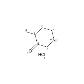 CC1CCNCC1=O.Cl